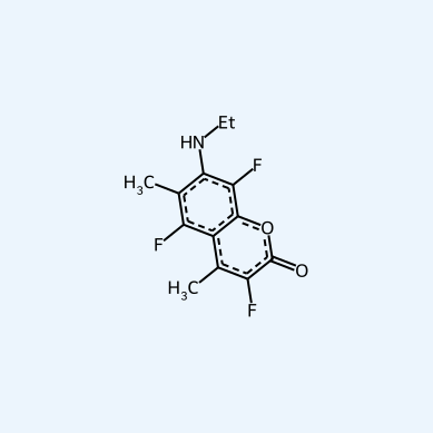 CCNc1c(C)c(F)c2c(C)c(F)c(=O)oc2c1F